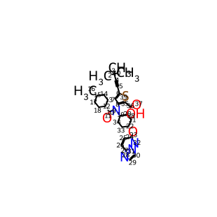 CC(C)(C)C#Cc1cc(N(C(=O)[C@H]2CC[C@H](C)CC2)[C@H]2CC[C@H](Oc3ccc4nccn4n3)CC2)c(C(=O)O)s1